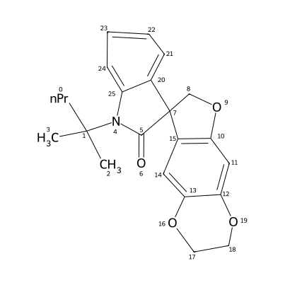 CCCC(C)(C)N1C(=O)C2(COc3cc4c(cc32)OCCO4)c2ccccc21